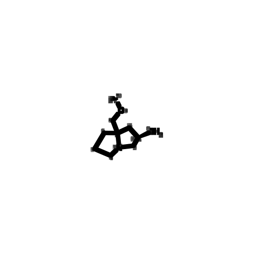 B[C@H]1CN2CCCC2(COC(C)C)C1